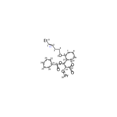 CC/C=C/CCOc1cccc2oc(=O)c(OC(C)C)c(OC(=O)c3ccccc3)c12